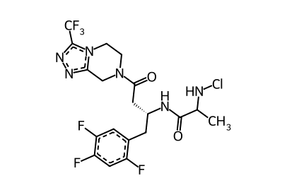 CC(NCl)C(=O)N[C@@H](CC(=O)N1CCn2c(nnc2C(F)(F)F)C1)Cc1cc(F)c(F)cc1F